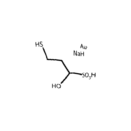 O=S(=O)(O)C(O)CCS.[Au].[NaH]